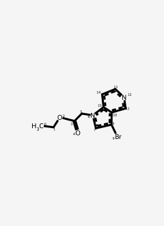 CCOC(=O)Cn1cc(Br)c2cnccc21